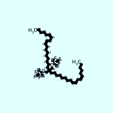 CCCCC/C=C\C/C=C\CCCCCCCCC(CCCCCCCC/C=C\C/C=C\CCCCC)(COS(=O)(=O)C(F)(F)F)COS(=O)(=O)C(F)(F)F